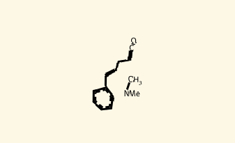 CNC.O=C=CCC=Cc1ccccc1